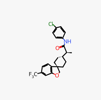 C[C@H](C(=O)Nc1ccc(Cl)cc1)[C@H]1CC[C@@]2(CC1)COc1cc(C(F)(F)F)ccc12